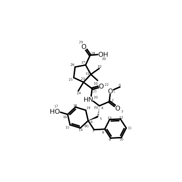 COC(=O)[C@H](C[C@@]1(Cc2ccccc2)C=CC(O)=CC1)NC(=O)C1(C)CCC(C(=O)O)C1(C)C